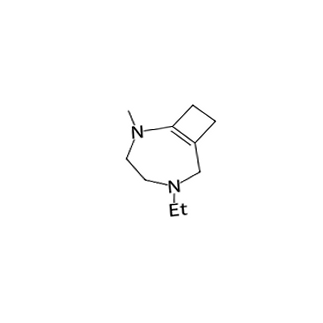 CCN1CCN(C)C2=C(CC2)C1